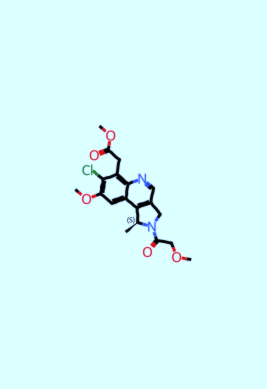 COCC(=O)N1Cc2cnc3c(CC(=O)OC)c(Cl)c(OC)cc3c2[C@@H]1C